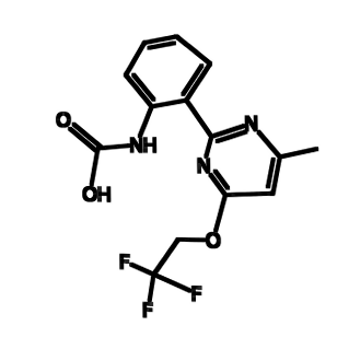 Cc1cc(OCC(F)(F)F)nc(-c2ccccc2NC(=O)O)n1